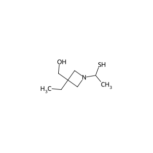 CCC1(CO)CN(C(C)S)C1